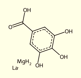 O=C(O)c1cc(O)c(O)c(O)c1.[La].[MgH2]